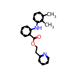 Cc1cccc(Nc2ccccc2C(=O)OCCc2ccccn2)c1C